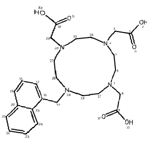 O=C(O)CN1CCN(CC(=O)O)CCN(Cc2cccc3ccccc23)CCN(CC(=O)O)CC1